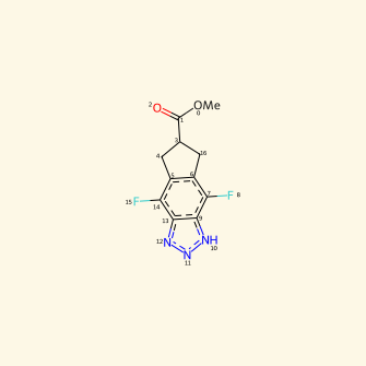 COC(=O)C1Cc2c(c(F)c3[nH]nnc3c2F)C1